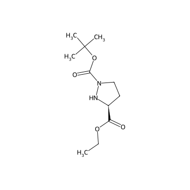 CCOC(=O)[C@@H]1CCN(C(=O)OC(C)(C)C)N1